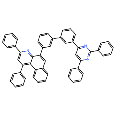 c1ccc(-c2cc(-c3cccc(-c4cccc(-c5cc6ccccc6c6c(-c7ccccc7)cc(-c7ccccc7)nc56)c4)c3)nc(-c3ccccc3)n2)cc1